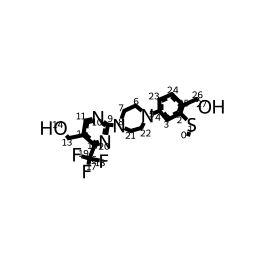 CSc1cc(N2CCN(c3ncc(CO)c(C(F)(F)F)n3)CC2)ccc1CO